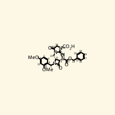 COc1ccc(CN2C(=O)[C@@H](NC(=O)OCc3ccccc3)[C@H]2CN2C(=O)CN(C(=O)O)C2=O)c(OC)c1